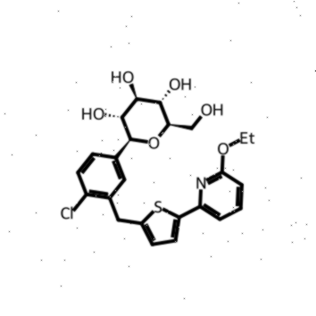 CCOc1cccc(-c2ccc(Cc3cc([C@@H]4O[C@H](CO)[C@@H](O)[C@H](O)[C@H]4O)ccc3Cl)s2)n1